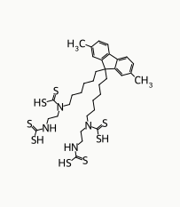 Cc1ccc2c(c1)C(CCCCCCN(CCNC(=S)S)C(=S)S)(CCCCCCN(CCNC(=S)S)C(=S)S)c1cc(C)ccc1-2